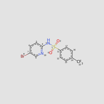 O=S(=O)(Nc1ccc(Br)cn1)c1ccc(C(F)(F)F)cc1